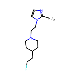 O=[N+]([O-])c1nccn1CCN1CCC(CCF)CC1